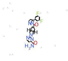 NC(=O)c1ccnc(N2C[C@H]3C[C@@H](C(=O)N4N=CC[C@H]4c4cc(F)cc(F)c4)C[C@H]3C2)n1